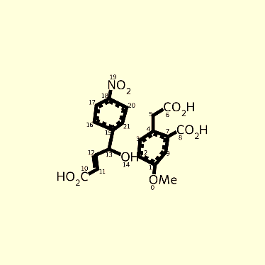 COc1ccc(CC(=O)O)c(C(=O)O)c1.O=C(O)/C=C/C(O)c1ccc([N+](=O)[O-])cc1